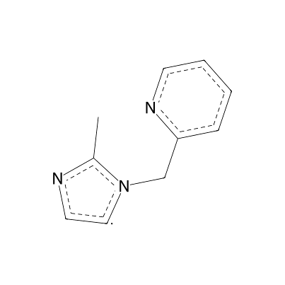 Cc1nc[c]n1Cc1ccccn1